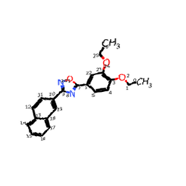 CCOc1ccc(-c2nc(-c3ccc4ccccc4c3)no2)cc1OCC